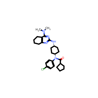 CN(C)c1nc(N[C@H]2CC[C@@H](N(C(=O)C3CCCC3)c3ccc(Cl)cc3)CC2)nc2c1CCCC2